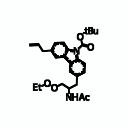 C=CCc1ccc2c(c1)c1cc(CC(COOCC)NC(C)=O)ccc1n2C(=O)OC(C)(C)C